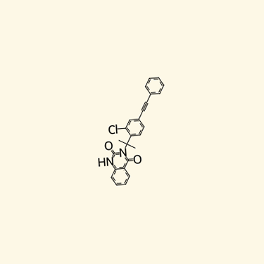 CC(C)(c1ccc(C#Cc2ccccc2)cc1Cl)n1c(=O)[nH]c2ccccc2c1=O